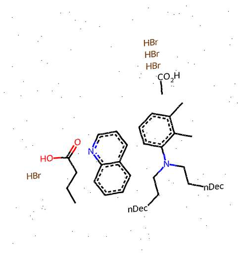 Br.Br.Br.Br.CC(=O)O.CCCC(=O)O.CCCCCCCCCCCCN(CCCCCCCCCCCC)c1cccc(C)c1C.c1ccc2ncccc2c1